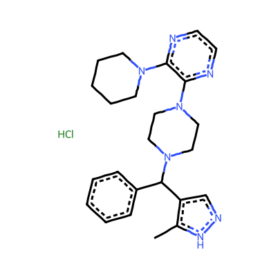 Cc1[nH]ncc1C(c1ccccc1)N1CCN(c2nccnc2N2CCCCC2)CC1.Cl